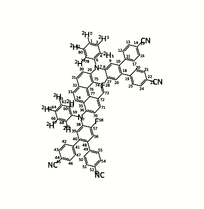 [2H]c1c([2H])c([2H])c(N(c2cc(-c3ccc(C#N)cc3)c(-c3ccc(C#N)cc3)cc2F)c2ccc3ccc4c(N(c5cc(-c6ccc(C#N)cc6)c(-c6ccc([N+]#[C-])cc6)cc5F)c5c([2H])c([2H])c([2H])c([2H])c5[2H])ccc5ccc2c3c54)c([2H])c1[2H]